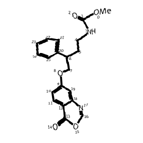 COC(=O)NCCC(COc1ccc2c(=O)ocnc2c1)c1ccccc1